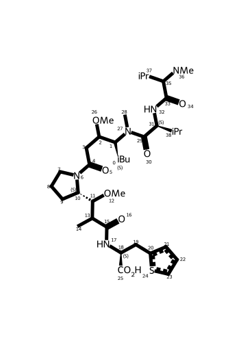 CC[C@H](C)C(C(CC(=O)N1CCC[C@H]1C(OC)C(C)C(=O)N[C@@H](Cc1cccs1)C(=O)O)OC)N(C)C(=O)[C@@H](NC(=O)C(NC)C(C)C)C(C)C